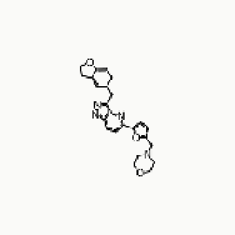 C1=C2CCOC2=CCC1Cc1nnc2ccc(-c3ccc(CN4CCOCC4)o3)nn12